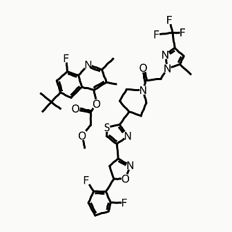 COCC(=O)Oc1c(C)c(C)nc2c(F)cc(C(C)(C)C)cc12.Cc1cc(C(F)(F)F)nn1CC(=O)N1CCC(c2nc(C3=NOC(c4c(F)cccc4F)C3)cs2)CC1